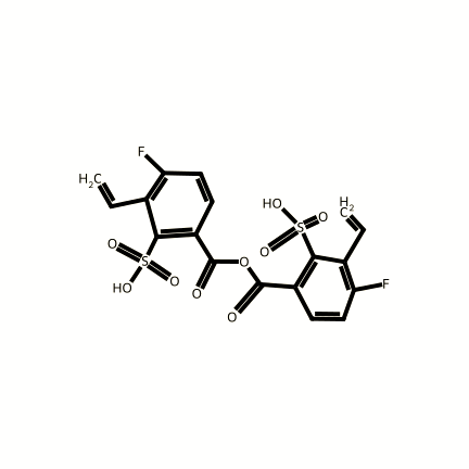 C=Cc1c(F)ccc(C(=O)OC(=O)c2ccc(F)c(C=C)c2S(=O)(=O)O)c1S(=O)(=O)O